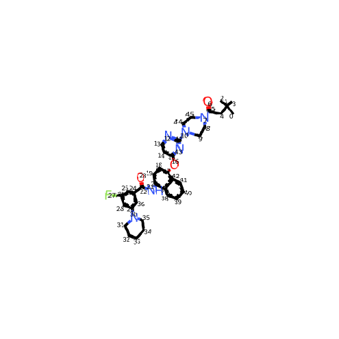 CC(C)(C)CC(=O)N1CCN(c2nccc(Oc3ccc(NC(=O)c4cc(F)cc(N5CCCCC5)c4)c4ccccc34)n2)CC1